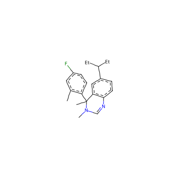 CCC(CC)c1ccc2c(c1)C(C)(c1ccc(F)cc1C)N(C)C=N2